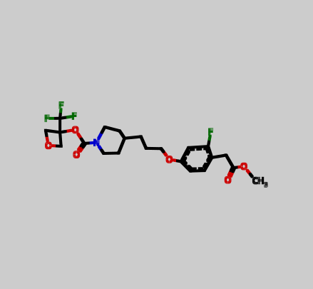 COC(=O)Cc1ccc(OCCCC2CCN(C(=O)OC3(C(F)(F)F)COC3)CC2)cc1F